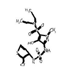 CCN(CC)S(=O)(=O)c1c(O)c(NS(=O)(=O)NC2C=CSC2Cl)nn1C